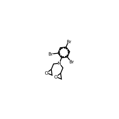 Brc1cc(Br)c(N(CC2CO2)CC2CO2)c(Br)c1